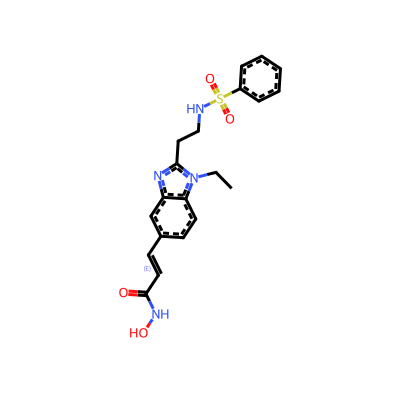 CCn1c(CCNS(=O)(=O)c2ccccc2)nc2cc(/C=C/C(=O)NO)ccc21